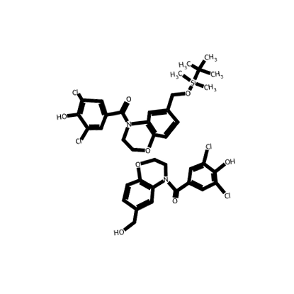 CC(C)(C)[Si](C)(C)OCc1ccc2c(c1)N(C(=O)c1cc(Cl)c(O)c(Cl)c1)CCO2.O=C(c1cc(Cl)c(O)c(Cl)c1)N1CCOc2ccc(CO)cc21